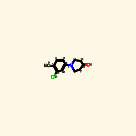 N#Cc1ccc(N2CCC(=O)CC2)cc1Cl